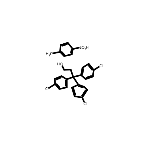 Cc1ccc(S(=O)(=O)O)cc1.OCCC(c1ccc(Cl)cc1)(c1ccc(Cl)cc1)c1ccc(Cl)cc1